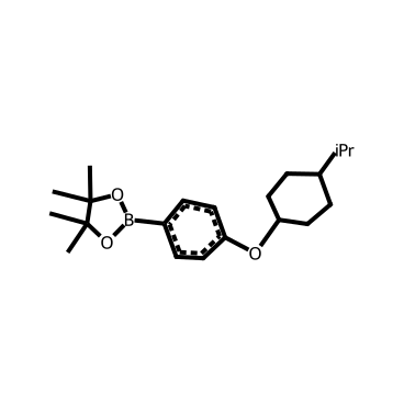 CC(C)C1CCC(Oc2ccc(B3OC(C)(C)C(C)(C)O3)cc2)CC1